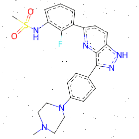 CN1CCN(c2ccc(-c3n[nH]c4ccc(-c5cccc(NS(C)(=O)=O)c5F)nc34)cc2)CC1